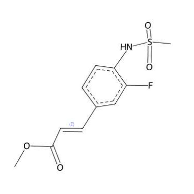 COC(=O)/C=C/c1ccc(NS(C)(=O)=O)c(F)c1